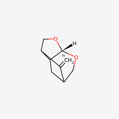 C=C1C2CO[C@H]3OCC1C3C2